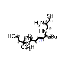 CCC(C)[C@@H](/C=C/CC(=O)N[C@@](CCO)(C(=O)O)C(C)C)NC[C@@H](N)CS